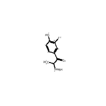 CCCCCCCC(C)C(=O)c1ccc(O)c(F)c1